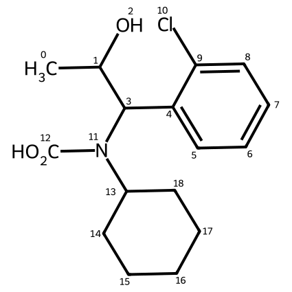 CC(O)C(c1ccccc1Cl)N(C(=O)O)C1CCCCC1